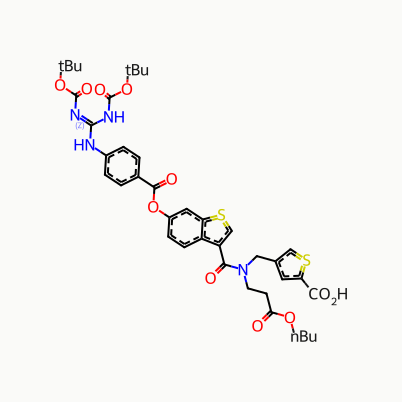 CCCCOC(=O)CCN(Cc1csc(C(=O)O)c1)C(=O)c1csc2cc(OC(=O)c3ccc(N/C(=N/C(=O)OC(C)(C)C)NC(=O)OC(C)(C)C)cc3)ccc12